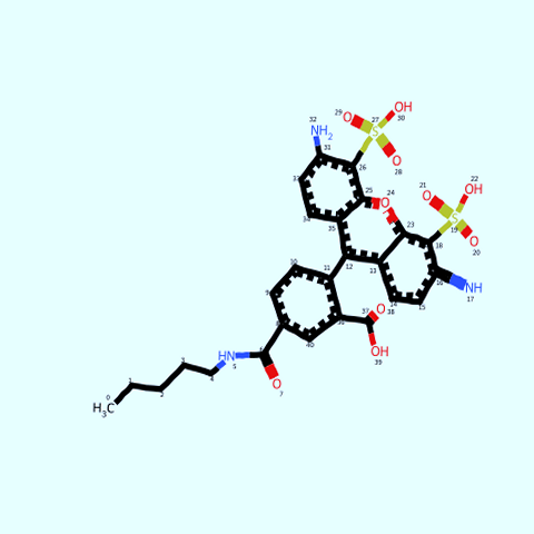 CCCCCNC(=O)c1ccc(-c2c3ccc(=N)c(S(=O)(=O)O)c-3oc3c(S(=O)(=O)O)c(N)ccc23)c(C(=O)O)c1